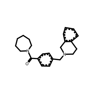 O=C(c1ccc(CN2CCc3ccccc3C2)cc1)N1CCCCCC1